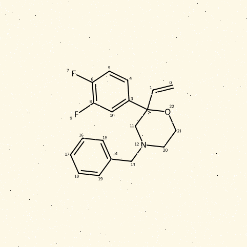 C=CC1(c2ccc(F)c(F)c2)CN(Cc2ccccc2)CCO1